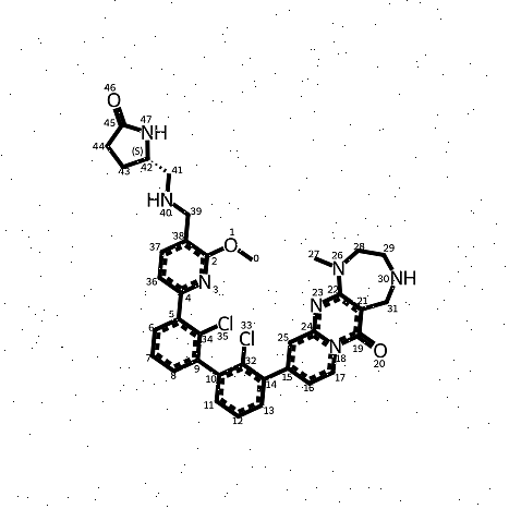 COc1nc(-c2cccc(-c3cccc(-c4ccn5c(=O)c6c(nc5c4)N(C)CCNC6)c3Cl)c2Cl)ccc1CNC[C@@H]1CCC(=O)N1